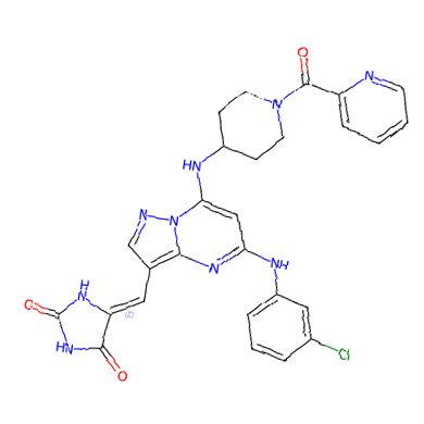 O=C1NC(=O)/C(=C/c2cnn3c(NC4CCN(C(=O)c5ccccn5)CC4)cc(Nc4cccc(Cl)c4)nc23)N1